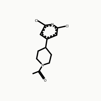 CC(=O)N1CCC(c2cc(Cl)nc(Cl)c2)CC1